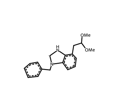 COC(Cc1cccc2c1N[CH]N2Cc1ccccc1)OC